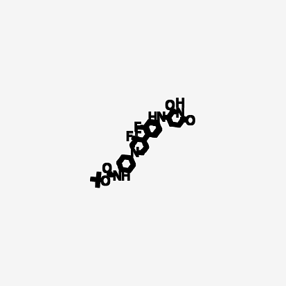 CC(C)(C)OC(=O)N[C@H]1CC[C@H](N2CCC(c3ccc(NC4CCC(=O)NC4=O)cc3F)C(F)(F)C2)CC1